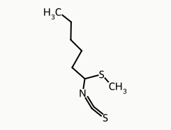 CCCCCC(N=C=S)SC